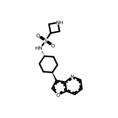 O=S(=O)(N[C@H]1CC[C@H](c2coc3cccnc32)CC1)C1CNC1